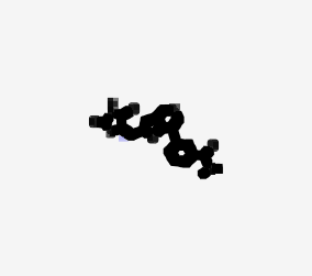 CN(C)C(=O)c1cccc(-c2cncc3cc(/C=C4/SC(=O)NC4=O)oc23)c1